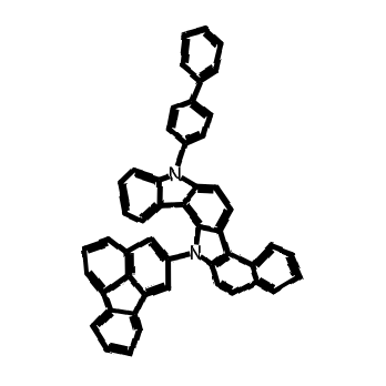 c1ccc(-c2ccc(-n3c4ccccc4c4c3ccc3c5c6ccccc6ccc5n(-c5cc6c7c(cccc7c5)-c5ccccc5-6)c34)cc2)cc1